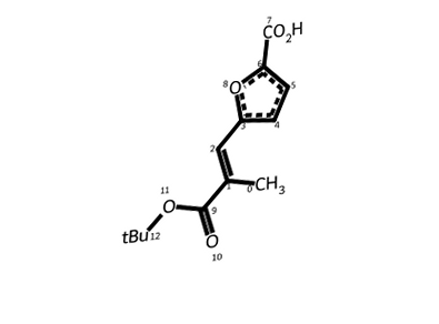 C/C(=C\c1ccc(C(=O)O)o1)C(=O)OC(C)(C)C